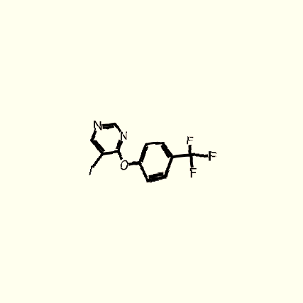 FC(F)(F)c1ccc(Oc2ncncc2I)cc1